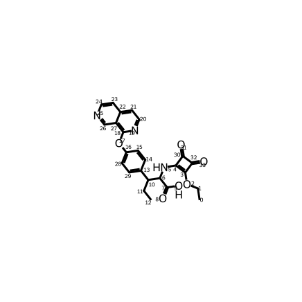 CCOc1c(NC(C(=O)O)C(CC)c2ccc(Oc3nccc4ccncc34)cc2)c(=O)c1=O